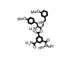 CCCN(CCC)C(=O)c1cc(C(N)=O)cc(C(=O)O[C@H](CNCc2cccc(OC)c2)[C@@H](N)Cc2ccc(OC)cc2)c1